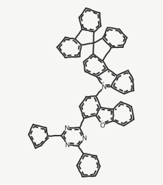 c1ccc(-c2nc(-c3ccccc3)nc(-c3ccc(-n4c5ccccc5c5c6c(ccc54)C4(c5ccccc5-c5ccccc54)c4ccccc4-6)c4c3oc3ccccc34)n2)cc1